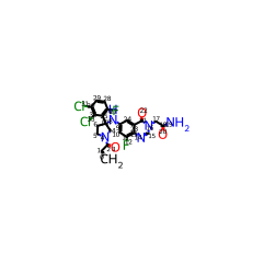 C=CC(=O)N1CC[C@](Nc2cc(F)c3ncn(CC(N)=O)c(=O)c3c2)(c2c(F)ccc(Cl)c2Cl)C1